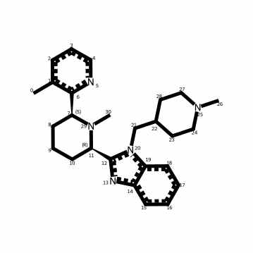 Cc1cccnc1[C@@H]1CCC[C@H](c2nc3ccccc3n2CC2CCN(C)CC2)N1C